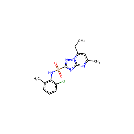 COCc1cc(C)nc2nc(S(=O)(=O)Nc3c(C)cccc3Cl)nn12